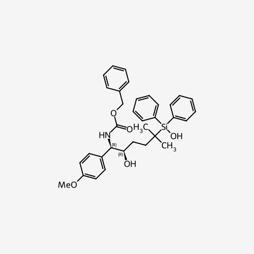 COc1ccc([C@@H](NC(=O)OCc2ccccc2)[C@H](O)CCC(C)(C)[Si](O)(c2ccccc2)c2ccccc2)cc1